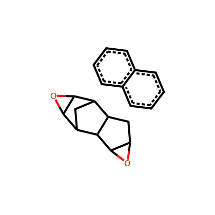 C1C2OC2C2C1C1CC2C2OC12.c1ccc2ccccc2c1